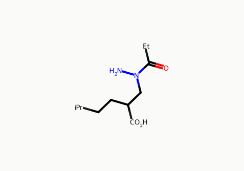 CCC(=O)N(N)CC(CCC(C)C)C(=O)O